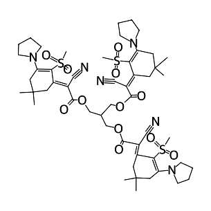 CC1(C)CC(N2CCCC2)=C(S(C)(=O)=O)/C(=C(\C#N)C(=O)OCC(COC(=O)/C(C#N)=C2\CC(C)(C)CC(N3CCCC3)=C2S(C)(=O)=O)COC(=O)/C(C#N)=C2\CC(C)(C)CC(N3CCCC3)=C2S(C)(=O)=O)C1